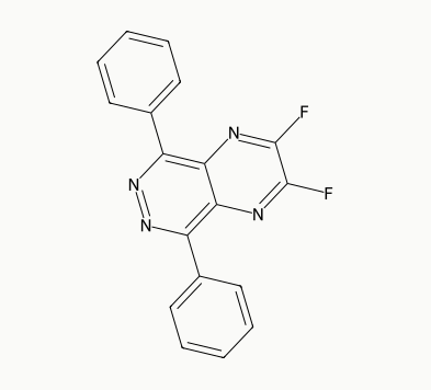 Fc1nc2c(-c3ccccc3)nnc(-c3ccccc3)c2nc1F